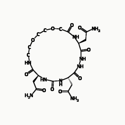 NC(=O)C[C@@H]1NC(=O)COCCOCCNC(=O)[C@H](CC(N)=O)NC(=O)N[C@@H](CC(N)=O)C(=O)NNC1=O